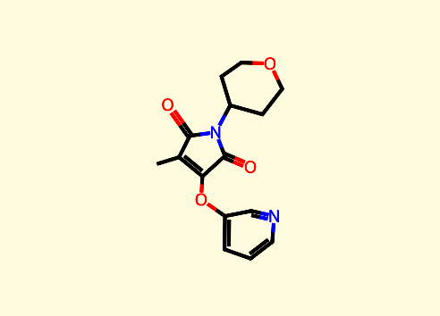 CC1=C(Oc2cccnc2)C(=O)N(C2CCOCC2)C1=O